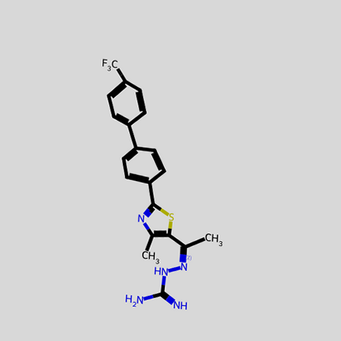 C/C(=N/NC(=N)N)c1sc(-c2ccc(-c3ccc(C(F)(F)F)cc3)cc2)nc1C